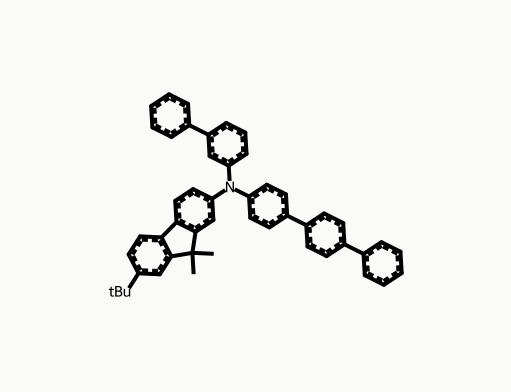 CC(C)(C)c1ccc2c(c1)C(C)(C)c1cc(N(c3ccc(-c4ccc(-c5ccccc5)cc4)cc3)c3cccc(-c4ccccc4)c3)ccc1-2